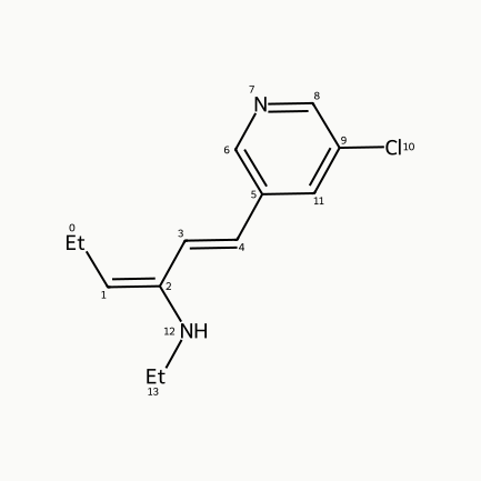 CC/C=C(\C=C\c1cncc(Cl)c1)NCC